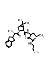 C=CCNC(=O)C(=O)C(CCC)NC(=O)[C@@H]1C2C(CN1C(=O)[C@@H](N)C1Cc3ccccc3C1)C2(C)C